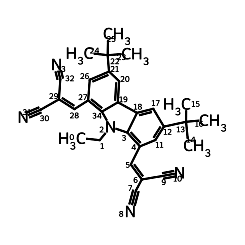 CCn1c2c(C=C(C#N)C#N)cc(C(C)(C)C)cc2c2cc(C(C)(C)C)cc(C=C(C#N)C#N)c21